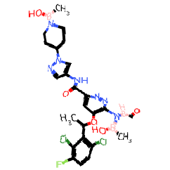 CB(O)N1CCC(n2cc(NC(=O)c3cc(OC(C)c4c(Cl)ccc(F)c4Cl)c(N(BC=O)B(C)O)nn3)cn2)CC1